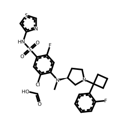 CN(c1cc(F)c(S(=O)(=O)Nc2cscn2)cc1Cl)[C@H]1CCN(C2(c3ccccc3F)CCC2)C1.O=CO